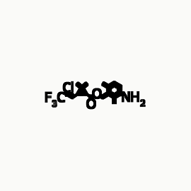 Cc1ccc(N)c(C)c1COC(=O)[C@H]1[C@@H](C=C(Cl)C(F)(F)F)C1(C)C